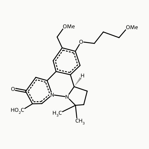 COCCCOc1cc2c(cc1COC)-c1cc(=O)c(C(=O)O)cn1N1[C@@H]2CCC1(C)C